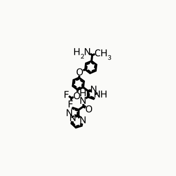 CC(N)c1cccc(Oc2ccc(OC(F)F)c(-c3n[nH]cc3NC(=O)c3cnn4cccnc34)c2)c1